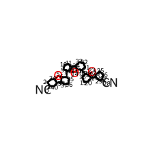 N#Cc1ccc2oc3c(-c4cccc5c4oc4c(-c6cccc7c6oc6ccc(C#N)cc67)cccc45)cccc3c2c1